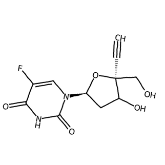 C#C[C@@]1(CO)O[C@H](n2cc(F)c(=O)[nH]c2=O)CC1O